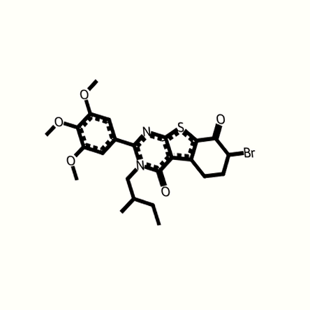 CCC(C)Cn1c(-c2cc(OC)c(OC)c(OC)c2)nc2sc3c(c2c1=O)CCC(Br)C3=O